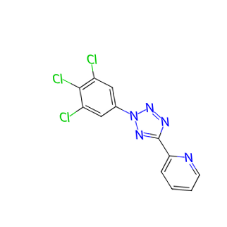 Clc1cc(-n2nnc(-c3ccccn3)n2)cc(Cl)c1Cl